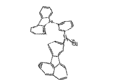 CCC(C)N(c1cccc(-n2c3ccccc3c3ccccc32)c1)c1ccc2c(c1)-c1cccc3cccc-2c13